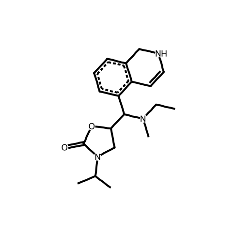 CCN(C)C(c1cccc2c1C=CNC2)C1CN(C(C)C)C(=O)O1